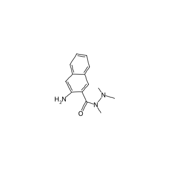 CN(C)N(C)C(=O)c1cc2ccccc2cc1N